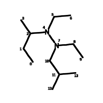 CCC(C)N(CC)N(CC)CC(C)C